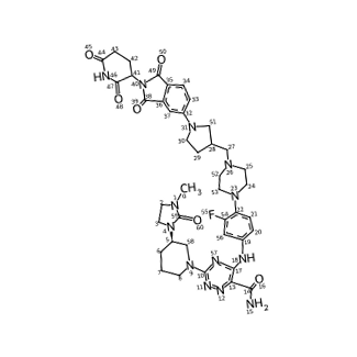 CN1CCN([C@@H]2CCCN(c3nnc(C(N)=O)c(Nc4ccc(N5CCN(CC6CCN(c7ccc8c(c7)C(=O)N(C7CCC(=O)NC7=O)C8=O)C6)CC5)c(F)c4)n3)C2)C1=O